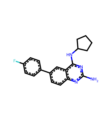 Nc1nc(NC2CCCC2)c2cc(-c3ccc(F)cc3)ccc2n1